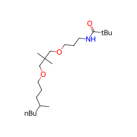 CCCCC(C)CCCOCC(C)(C)COCCCNC(=O)C(C)(C)C